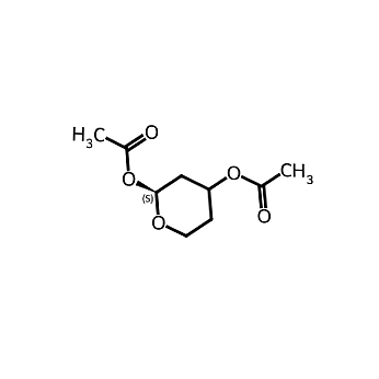 CC(=O)OC1CCO[C@@H](OC(C)=O)C1